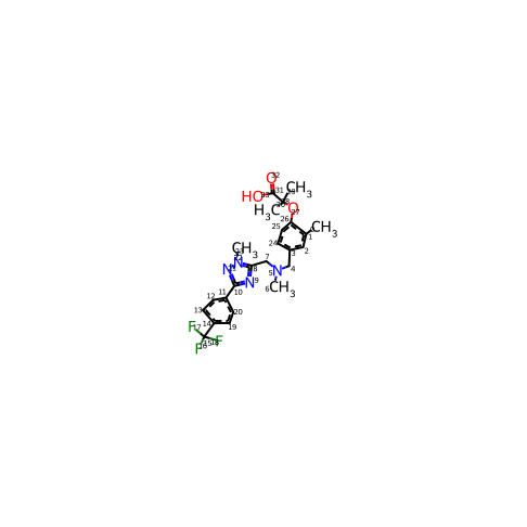 Cc1cc(CN(C)Cc2nc(-c3ccc(C(F)(F)F)cc3)nn2C)ccc1OC(C)(C)C(=O)O